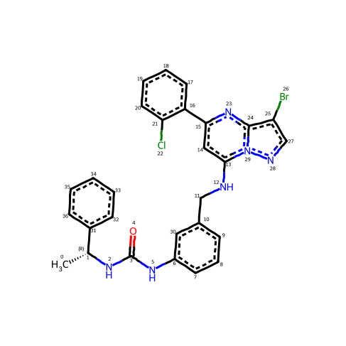 C[C@@H](NC(=O)Nc1cccc(CNc2cc(-c3ccccc3Cl)nc3c(Br)cnn23)c1)c1ccccc1